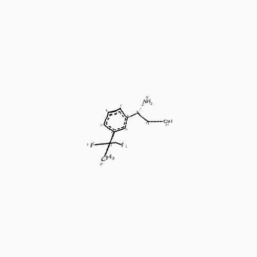 CC(F)(F)c1cccc([C@H](N)CO)c1